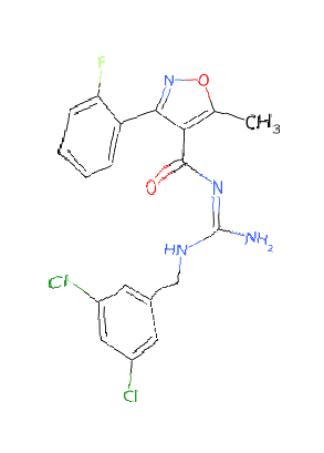 Cc1onc(-c2ccccc2F)c1C(=O)N=C(N)NCc1cc(Cl)cc(Cl)c1